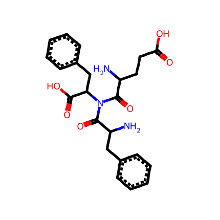 NC(CCC(=O)O)C(=O)N(C(=O)C(N)Cc1ccccc1)C(Cc1ccccc1)C(=O)O